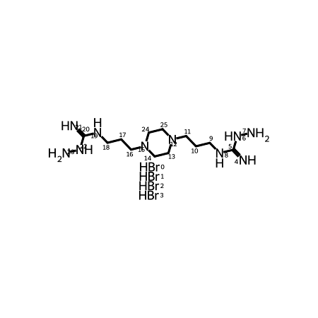 Br.Br.Br.Br.N=C(NN)NCCCN1CCN(CCCNC(=N)NN)CC1